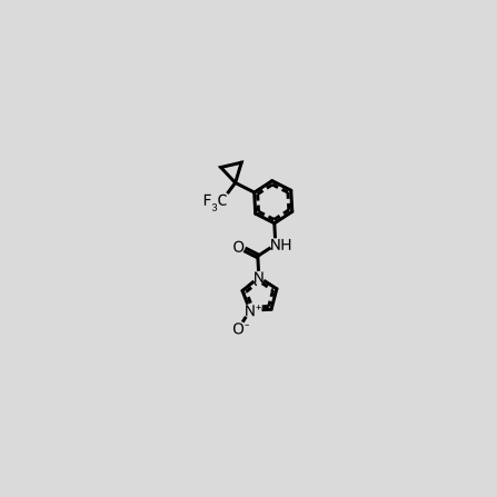 O=C(Nc1cccc(C2(C(F)(F)F)CC2)c1)n1cc[n+]([O-])c1